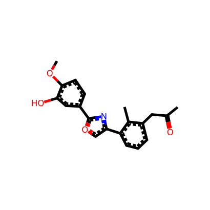 COc1ccc(-c2nc(-c3cccc(CC(C)=O)c3C)co2)cc1O